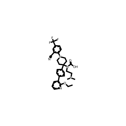 CCOc1ncccc1-c1ccc(C2(N(CCN(C)C)C(=O)O)CCN(c3ccc(C(F)(F)F)cc3C#N)CC2)cc1